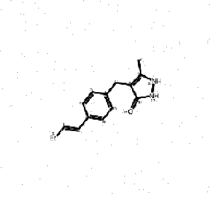 CC/C=C/c1ccc(Cc2c(C)[nH][nH]c2=O)cc1